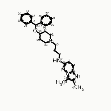 Cc1nc2ccc(NCCCN3CCC(OC(c4ccccc4)c4ccccc4)CC3)nn2c1C